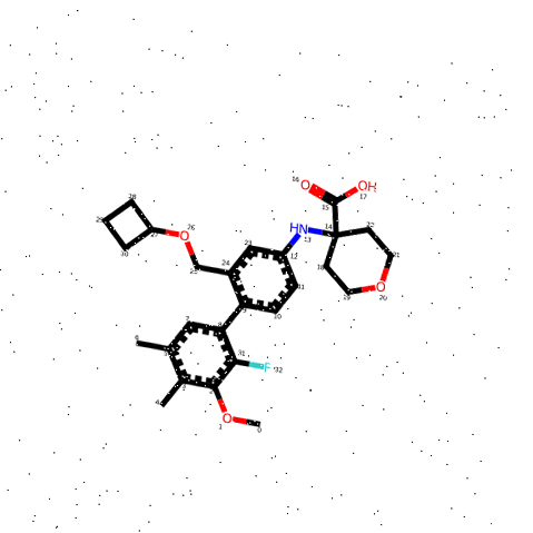 COc1c(C)c(C)cc(-c2ccc(NC3(C(=O)O)CCOCC3)cc2COC2CCC2)c1F